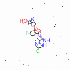 CN1C2CC(Oc3cc(F)ccc3C(=O)N3CC(=N)/C(=C4/N=CC(Cl)=CN4)C3)CC23C[C@H](O)C13